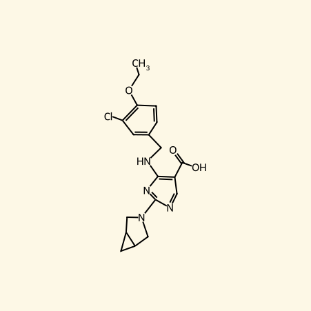 CCOc1ccc(CNc2nc(N3CC4CC4C3)ncc2C(=O)O)cc1Cl